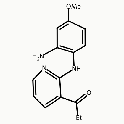 CCC(=O)c1cccnc1Nc1ccc(OC)cc1N